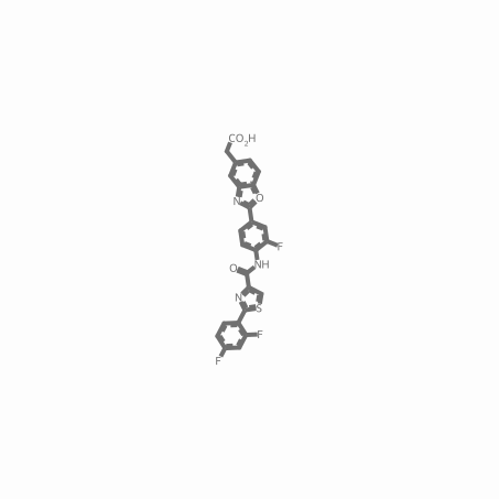 O=C(O)Cc1ccc2oc(-c3ccc(NC(=O)c4csc(-c5ccc(F)cc5F)n4)c(F)c3)nc2c1